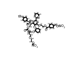 COc1ccccc1Oc1c(OCCOC(=O)c2ccc(CO[N+](=O)[O-])cc2)nc(-c2ncccn2)nc1N(COC(=O)OCCOCCO[N+](=O)[O-])S(=O)(=O)c1ccc(C(C)(C)C)cc1